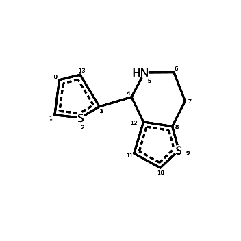 c1csc(C2NCCc3sccc32)c1